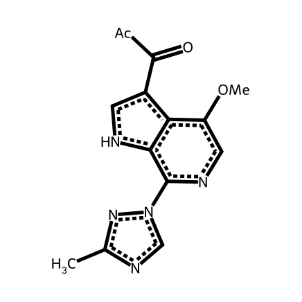 COc1cnc(-n2cnc(C)n2)c2[nH]cc(C(=O)C(C)=O)c12